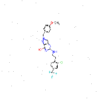 COc1ccc(Cn2cc3nc(NCCc4ccc(C(F)(F)F)cc4Cl)nc(O)c3n2)cc1